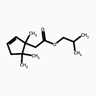 CC(C)COC(=O)CC1(C)C=CCC1(C)C